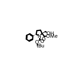 COC(=O)[C@@]1(CO)CC[C@@H](c2ccccc2)N1C(=O)OC(C)(C)C